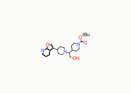 CC(C)(C)OC(=O)N1CCC(C(CO)N2CCC(c3coc4ncccc34)CC2)CC1